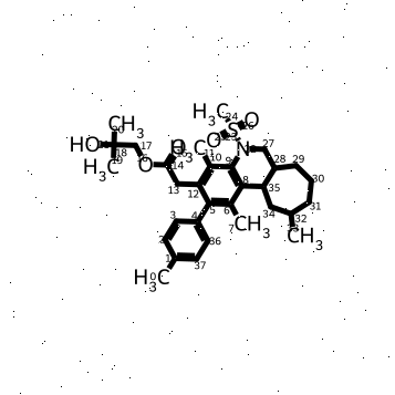 Cc1ccc(-c2c(C)c3c(c(C)c2CC(=O)OCC(C)(C)O)N(S(C)(=O)=O)CC2CCCC(C)CC32)cc1